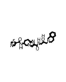 O=C(NC[C@H](O)CN1CCc2ccccc2C1)c1cn2c(n1)CCC(NC(=O)c1cncs1)C2